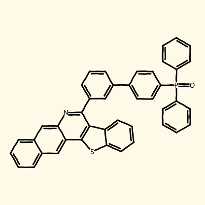 O=P(c1ccccc1)(c1ccccc1)c1ccc(-c2cccc(-c3nc4cc5ccccc5cc4c4sc5ccccc5c34)c2)cc1